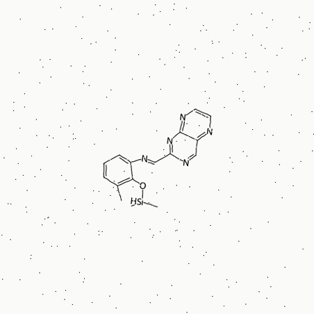 Cc1cccc(N=Cc2ncc3nccnc3n2)c1O[SiH](C)C